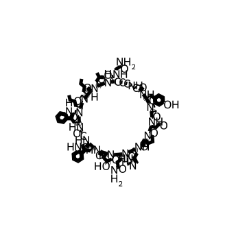 CCCC[C@H]1C(=O)N(C)[C@@H](CCCC)C(=O)N[C@@H](CC(C)C)C(=O)N[C@H](C(=O)NCC(N)=O)CCCNCC(=O)N[C@@H](Cc2ccc(O)cc2)C(=O)N(C)[C@@H](C)C(=O)NC(CC=O)C(=O)N2CCC[C@H]2C(=O)N[C@@H](Cc2cnc[nH]2)C(=O)N[C@@H](CCC(N)=O)C(=O)N2C[C@H](O)C[C@H]2C(=O)N[C@@H](Cc2c[nH]c3ccccc23)C(=O)NCC(=O)N[C@@H](Cc2c[nH]c3ccccc23)C(=O)N1C